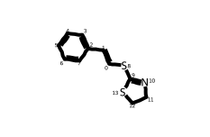 C(=Cc1ccccc1)SC1=NCCS1